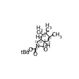 CC1=C[C@@H]2C(=O)N(C(=O)OC(C)(C)C)C[C@H]2[C@@H](C)[C@@H]1C